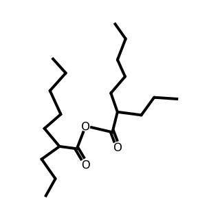 CCCCCC(CCC)C(=O)OC(=O)C(CCC)CCCCC